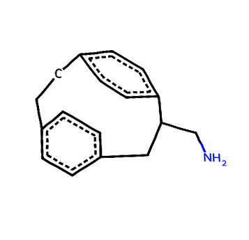 NCC1Cc2ccc(cc2)CCc2ccc1cc2